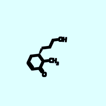 CC1C(=O)C=CC[C@@H]1CCCO